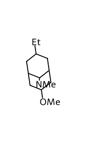 CCC1CC2CC(OC)CC(C1)C2NC